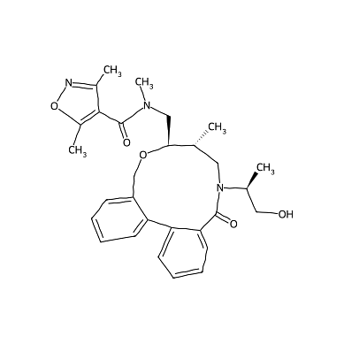 Cc1noc(C)c1C(=O)N(C)C[C@@H]1OCc2ccccc2-c2ccccc2C(=O)N([C@@H](C)CO)C[C@H]1C